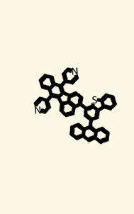 c1ccc2c(-c3cc(-c4ccc5c6c(cccc46)-c4c-5c(-c5ccncc5)c5ccccc5c4-c4ccncc4)c4sc5ccccc5c4c3)c3ccccc3cc2c1